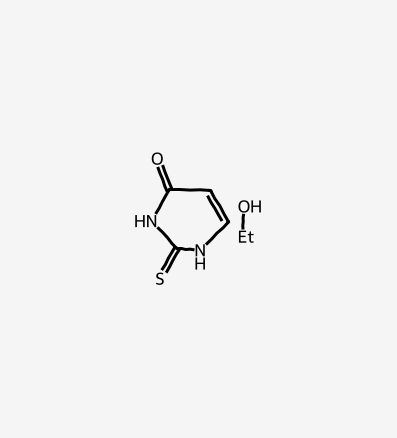 CCO.O=c1cc[nH]c(=S)[nH]1